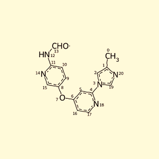 Cc1cn(-c2cc(Oc3ccc(N[C]=O)nc3)ccn2)cn1